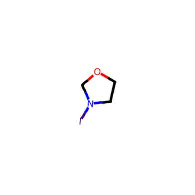 IN1CCOC1